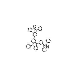 O=c1c2ccccc2c2cc(-c3ccc4c(-c5ccccc5)c5ccccc5c(-c5cccc(-n6c(-c7ccccc7)nc7ccccc76)c5)c4c3)ccc2n1-c1ccccc1